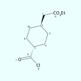 CCOC(=O)C[C@H]1CC[C@H](C(=O)Cl)CC1